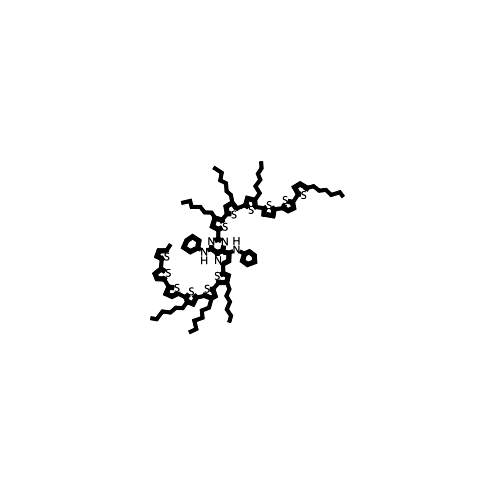 CCCCCCc1ccc(-c2ccc(-c3ccc(-c4sc(-c5sc(-c6sc(-c7nc(Nc8ccccc8)c8nc(-c9cc(CCCCCC)c(-c%10cc(CCCCCC)c(-c%11cc(CCCCCC)c(-c%12ccc(-c%13ccc(-c%14ccc(C)s%14)s%13)s%12)s%11)s%10)s9)cc(Nc9ccccc9)c8n7)cc6CCCCCC)cc5CCCCCC)cc4CCCCCC)s3)s2)s1